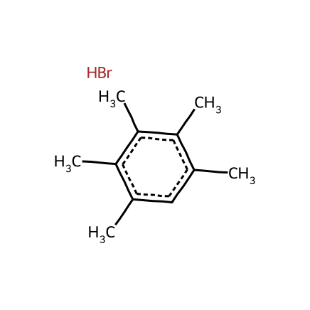 Br.Cc1cc(C)c(C)c(C)c1C